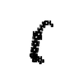 CCCCCCC1CC[C@@H]2C[C@H](c3ccc(-c4ccc(C5=NC(C)(C)CO5)cc4)cc3)CC[C@@H]2C1